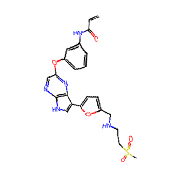 C=CC(=O)Nc1cccc(Oc2cnc3[nH]cc(-c4ccc(CNCCS(C)(=O)=O)o4)c3n2)c1